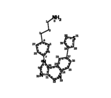 NCCCc1ccc(-n2cnc3cnc4ccc(-c5ccsc5)cc4c32)cc1